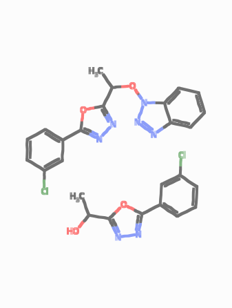 CC(O)c1nnc(-c2cccc(Cl)c2)o1.CC(On1nnc2ccccc21)c1nnc(-c2cccc(Cl)c2)o1